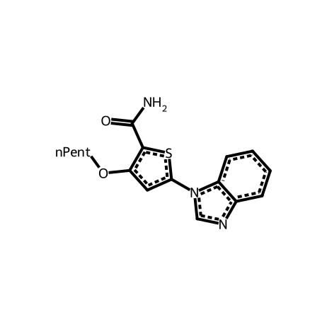 CCCCCOc1cc(-n2cnc3ccccc32)sc1C(N)=O